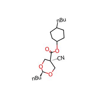 CCCCC1CCC(OC(=O)[C@]2(C#N)CO[C@H](CCCC)OC2)CC1